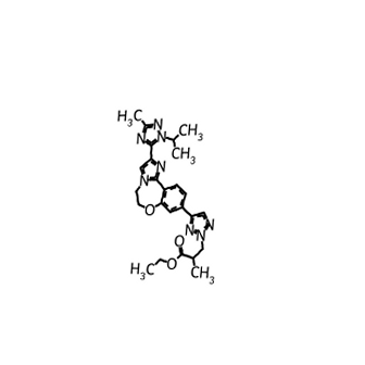 CCOC(=O)C(C)Cn1ncc(-c2ccc3c(c2)OCCn2cc(-c4nc(C)nn4C(C)C)nc2-3)n1